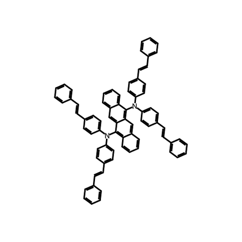 C(=Cc1ccc(N(c2ccc(C=Cc3ccccc3)cc2)c2c3ccccc3cc3c(N(c4ccc(C=Cc5ccccc5)cc4)c4ccc(C=Cc5ccccc5)cc4)c4ccccc4cc23)cc1)c1ccccc1